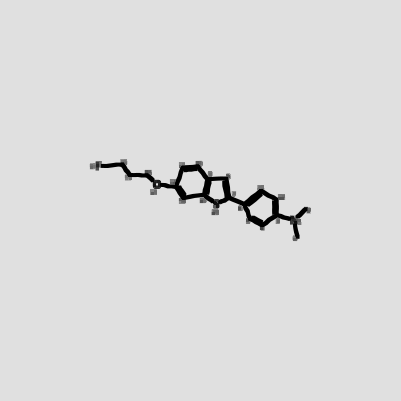 CN(C)c1ccc(-c2cc3ccc(OCCCF)cc3s2)cc1